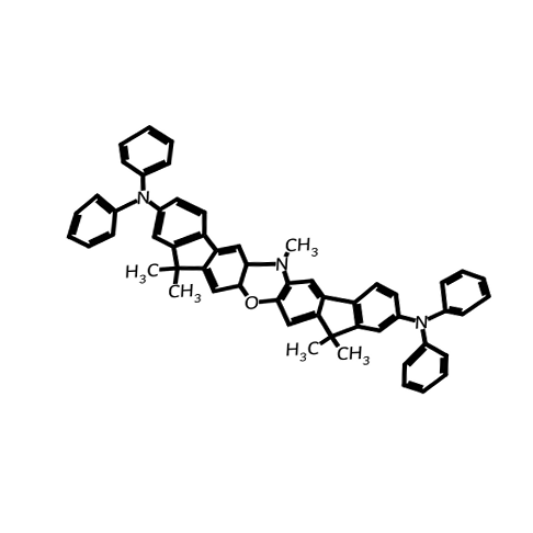 CN1c2cc3c(cc2OC2C=C4C(=CC21)c1ccc(N(c2ccccc2)c2ccccc2)cc1C4(C)C)C(C)(C)c1cc(N(c2ccccc2)c2ccccc2)ccc1-3